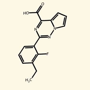 CCc1cccc(-c2nc(C(=O)O)c3cccn3n2)c1F